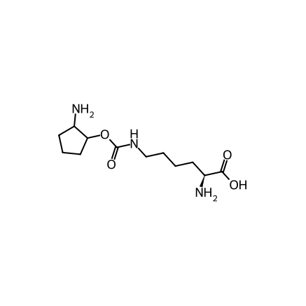 NC1CCCC1OC(=O)NCCCC[C@H](N)C(=O)O